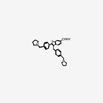 COc1ccc2c(Cc3ccc(CN4CCCC4)cc3)c(-c3ccc(CN4CCCC4)cc3)sc2c1